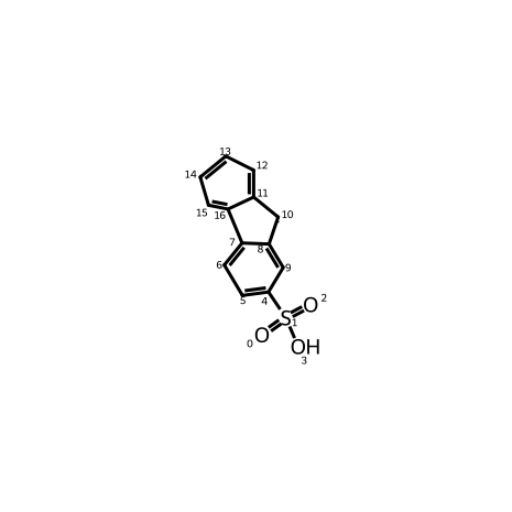 O=S(=O)(O)c1ccc2c(c1)[CH]c1ccccc1-2